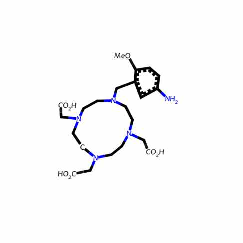 COc1ccc(N)cc1CN1CCN(CC(=O)O)CCN(CC(=O)O)CCN(CC(=O)O)CC1